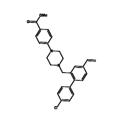 C=Cc1ccc(-c2ccc(Cl)cc2)c(CN2CCN(c3ccc(C(=O)OC)cc3)CC2)c1